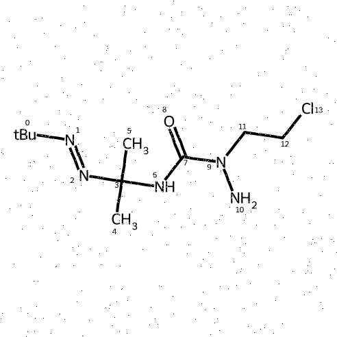 CC(C)(C)/N=N/C(C)(C)NC(=O)N(N)CCCl